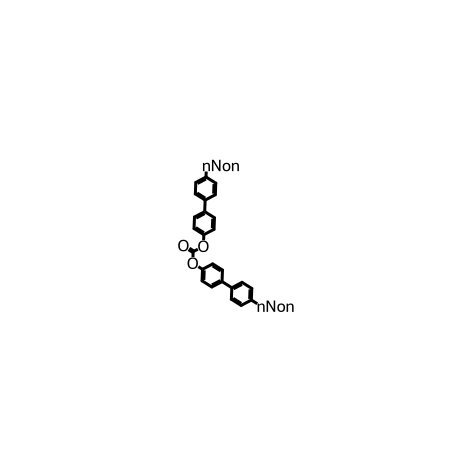 CCCCCCCCCc1ccc(-c2ccc(OC(=O)Oc3ccc(-c4ccc(CCCCCCCCC)cc4)cc3)cc2)cc1